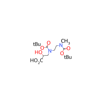 CN(CCN(CC(O)C(=O)O)C(=O)OC(C)(C)C)C(=O)OC(C)(C)C